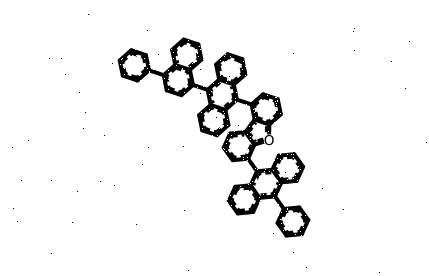 c1ccc(-c2ccc(-c3c4ccccc4c(-c4cccc5oc6c(-c7c8ccccc8c(-c8ccccc8)c8ccccc78)cccc6c45)c4ccccc34)c3ccccc23)cc1